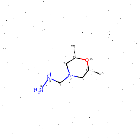 C[C@@H]1CN(CNN)C[C@H](C)O1